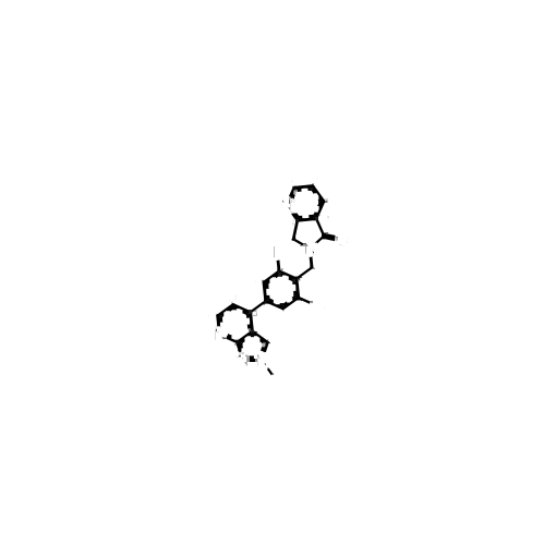 Cn1cc2c(-c3cc(F)c(CN4Cc5ncccc5C4=O)c(F)c3)ccnc2n1